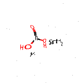 [O]=[Ti]([OH])[OH].[SrH2].[Y]